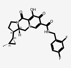 C[C@H]1C[C@H]1[C@H]1CCN2C(=O)c3c(O)c(=O)c(C(=O)NCc4ccc(F)cc4F)cn3C[C@H]12